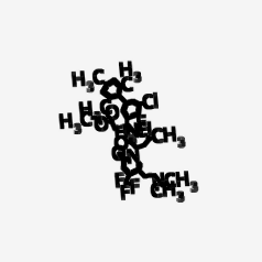 CCOC(=O)C[C@H](NC(=O)C(CC(C)C)n1cc(CCN(C)C)c(C(F)(F)F)cc1=O)c1cc(-c2c(C)cc(C)cc2C)cc(Cl)c1F